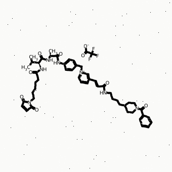 CC(C)[C@H](NC(=O)CCCCCN1C(=O)C=CC1=O)C(=O)N[C@@H](C)C(=O)Nc1ccc(C[n+]2cccc(/C=C/C(=O)NCCCCC3CCN(C(=O)c4ccccc4)CC3)c2)cc1.O=C([O-])C(F)(F)F